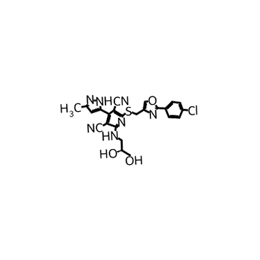 Cc1cc(-c2c(C#N)c(NC[C@H](O)CO)nc(SCc3coc(-c4ccc(Cl)cc4)n3)c2C#N)[nH]n1